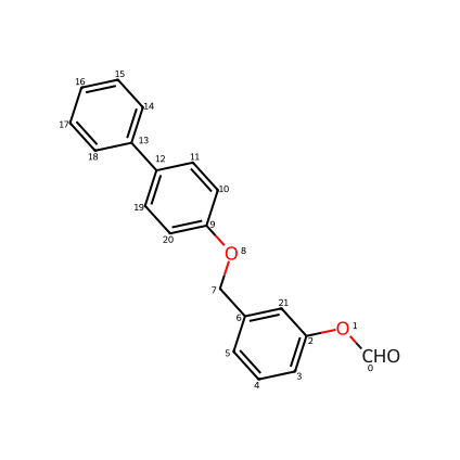 O=COc1cccc(COc2ccc(-c3ccccc3)cc2)c1